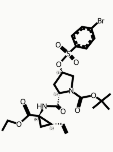 C=C[C@@H]1C[C@]1(NC(=O)[C@@H]1C[C@H](OS(=O)(=O)c2ccc(Br)cc2)CN1C(=O)OC(C)(C)C)C(=O)OCC